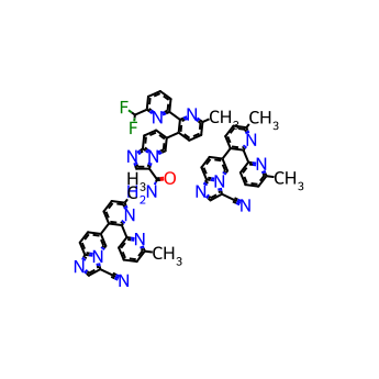 Cc1ccc(-c2ccc3ncc(C(N)=O)n3c2)c(-c2cccc(C(F)F)n2)n1.Cc1cccc(-c2nc(C)ccc2-c2ccc3ncc(C#N)n3c2)n1.Cc1cccc(-c2nc(C)ccc2-c2ccc3ncc(C#N)n3c2)n1